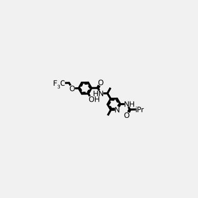 Cc1cc(C(C)NC(=O)c2ccc(OCC(F)(F)F)cc2O)cc(NC(=O)C(C)C)n1